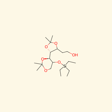 CC[Si](CC)(CC)OC1COC(C)(C)O[C@H]1[C@@H]1OC(C)(C)OC1CCO